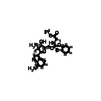 CC(C)OC(=O)[C@H](C)N[P@@](=O)(OC[C@H]1O[C@@H](c2cnn3c(N)ccnc23)[C@](C)(N)[C@@H]1O)Oc1ccccc1